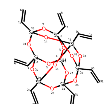 C=C[Si]12O[SiH]3O[Si]4(C=C)O[Si](C=C)(O1)O[Si]1(C=C)O[Si](C=C)(O2)O[Si](C=C)(O3)O[Si](C=C)(O4)O1